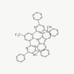 N#Cc1ccc2c3ccc(C#N)cc3n(-c3c(-c4nc(-c5ccccc5)cc(-c5ccccc5)n4)cc(C(F)(F)F)cc3-c3nc(-c4ccccc4)cc(-c4ccccc4)n3)c2c1